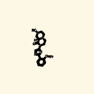 CC(C)Oc1ccccc1-c1ncc(N2CCN3CCN(C#N)C[C@@H]3C2=O)s1